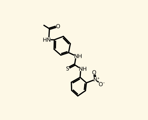 CC(=O)Nc1ccc(NC(=S)Nc2ccccc2[N+](=O)[O-])cc1